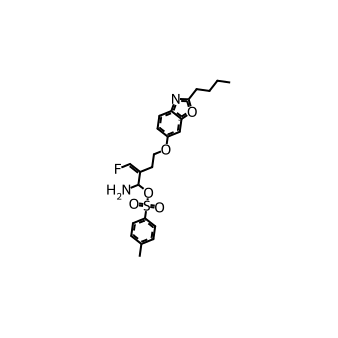 CCCCc1nc2ccc(OCCC(=CF)C(N)OS(=O)(=O)c3ccc(C)cc3)cc2o1